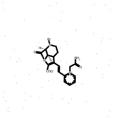 CC(=O)N1CCC2C(/C=C/c3cccc[n+]3CC(N)=O)=C(C(=O)[O-])N3C(=O)[C@@H]1[C@@H]23